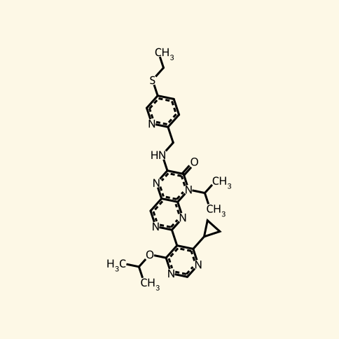 CCSc1ccc(CNc2nc3cnc(-c4c(OC(C)C)ncnc4C4CC4)nc3n(C(C)C)c2=O)nc1